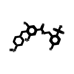 CCS(=O)(=O)c1ccc(Cl)cc1CNC(=O)c1cc(Br)c(CN2CCN(C(=O)O)CC2)c(C(F)(F)F)c1